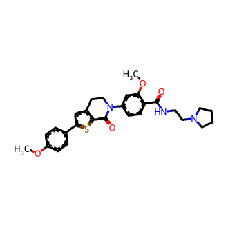 COc1ccc(-c2cc3c(s2)C(=O)N(c2ccc(C(=O)NCCN4CCCC4)c(OC)c2)CC3)cc1